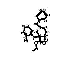 CCOC(=O)C1(Cc2ccccc2Br)CN(Cc2ccccc2)CCC1=O